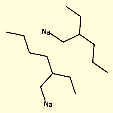 CCCC(CC)[CH2][Na].CCCCC(CC)[CH2][Na]